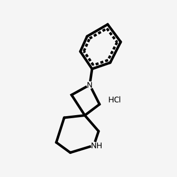 Cl.c1ccc(N2CC3(CCCNC3)C2)cc1